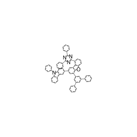 c1ccc(-c2cc(-c3ccccc3)cc(-c3cc(-c4ccc5c(c4)c4ccccc4n5-c4ccccc4)cc4c3oc3cccc(-c5nc(-c6ccccc6)nc(-c6ccccc6)n5)c34)c2)cc1